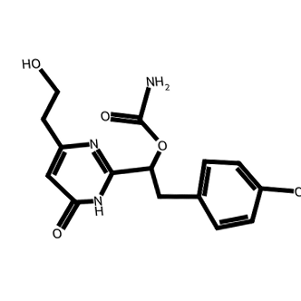 NC(=O)OC(Cc1ccc(Cl)cc1)c1nc(CCO)cc(=O)[nH]1